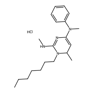 CCCCCCCN1C(NC)=NC(N(C)c2ccccc2)=CC1C.Cl